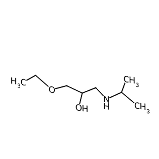 CCOCC(O)CNC(C)C